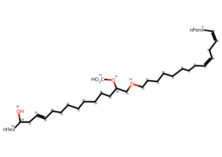 CCCCC/C=C\C/C=C\CCCCCCCCOCC(CCCCCCCCC=CCC(O)CCCCCC)OC(=O)O